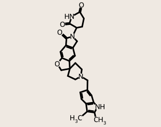 Cc1[nH]c2cc(CN3CCC4(CC3)COc3cc5c(cc34)CN(C3CCC(=O)NC3=O)C5=O)ccc2c1C